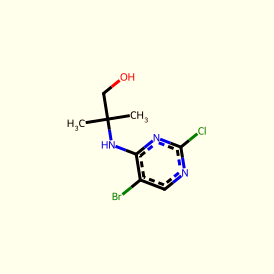 CC(C)(CO)Nc1nc(Cl)ncc1Br